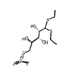 CCSC(SCC)[C@@H](O)[C@H](O)[C@H](O)CO[SH](#P)I